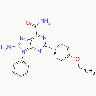 CCOc1ccc(-c2nc(C(N)=O)c3nc(N)n(-c4ccccc4)c3n2)cc1